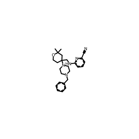 CC1(C)CC(CNc2cccc(C#N)n2)(N2CCN(Cc3ccccc3)CC2)CCO1